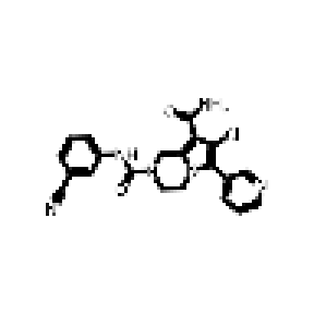 N#Cc1cccc(NC(=O)N2CCn3c(c(C(N)=O)c(Cl)c3-c3cccnc3)C2)c1